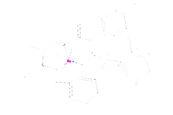 C=C(C(=O)N[C@H](Cc1ccccc1)C(=O)OC)[C@H](c1ccc(Cl)cc1)N(CC(C)(C)C)S(=O)(=O)c1ccccc1C